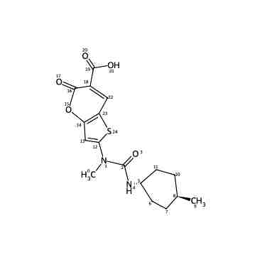 CN(C(=O)N[C@H]1CC[C@H](C)CC1)c1cc2oc(=O)c(C(=O)O)cc2s1